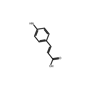 [NH]c1ccc(C=CC(=O)O)cc1